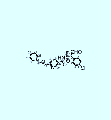 O=CC(c1ccc(Cl)cc1)S(=O)(=O)NC(=O)c1ccc(COCc2ccccc2)nc1